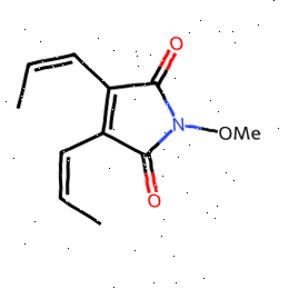 C/C=C\C1=C(/C=C\C)C(=O)N(OC)C1=O